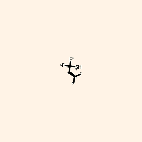 CC(C)=CC(F)(F)S